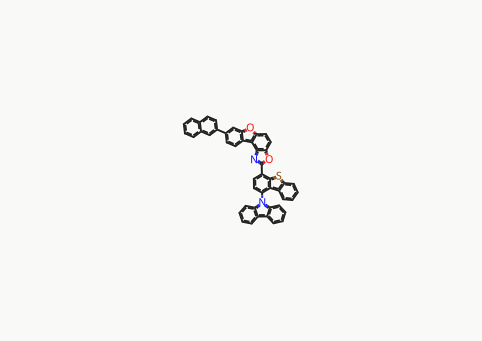 c1ccc2cc(-c3ccc4c(c3)oc3ccc5oc(-c6ccc(-n7c8ccccc8c8ccccc87)c7c6sc6ccccc67)nc5c34)ccc2c1